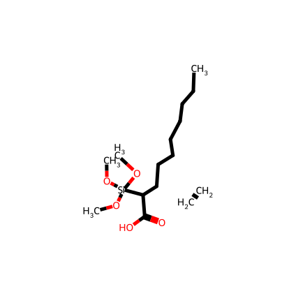 C=C.CCCCCCCCC(C(=O)O)[Si](OC)(OC)OC